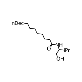 CCCCCCCCCCCCCCCCCC(=O)NC(CO)C(C)C